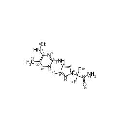 CCNc1nc(Nc2cn(C(F)(F)C(N)=O)nc2C)ncc1C(F)(F)F